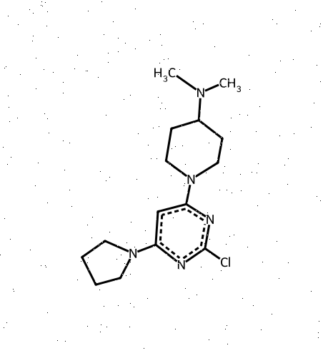 CN(C)C1CCN(c2cc(N3CCCC3)nc(Cl)n2)CC1